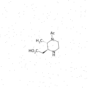 CC(=O)N1CCN[C@@H](CC(=O)O)[C@@H]1C